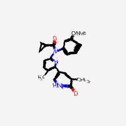 COc1cccc(N(C(=O)C2CC2)c2ccc(C)c(-c3c[nH]c(=O)c(C)c3)n2)c1